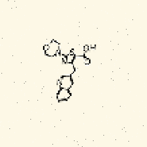 O=C(O)c1sc(N2CCOCC2)nc1Cc1cnc2ccccc2c1